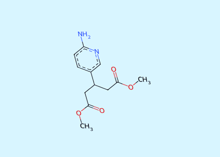 COC(=O)CC(CC(=O)OC)c1ccc(N)nc1